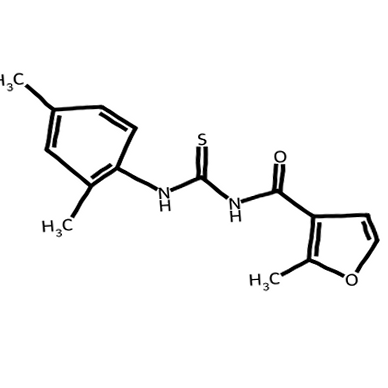 Cc1ccc(NC(=S)NC(=O)c2ccoc2C)c(C)c1